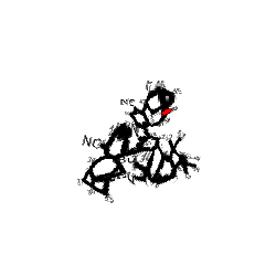 CC(C)(C)CC1(CC(C)(C)C)c2ccc3c(c2-c2cc4c5c6c(c(C#N)cc5n5c7cc(C#N)c8c(c7c(c21)c45)C1CC2CC4CC8CC42C1)C1CC2CC(C1)CC6C2)C(C)(C)CC3(C)C